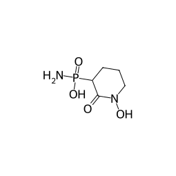 NP(=O)(O)C1CCCN(O)C1=O